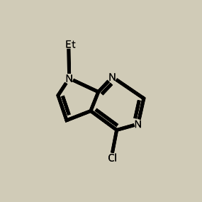 CCn1ccc2c(Cl)ncnc21